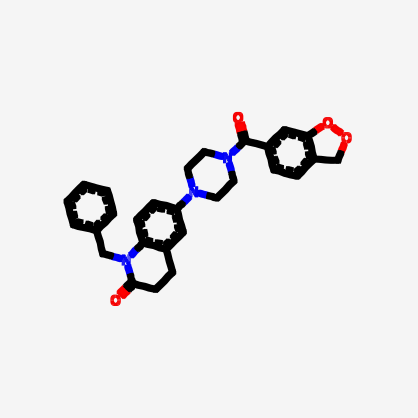 O=C(c1ccc2c(c1)OOC2)N1CCN(c2ccc3c(c2)CCC(=O)N3Cc2ccccc2)CC1